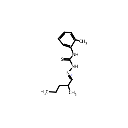 CCCC(C)/C=N/NC(=S)Nc1ccccc1C